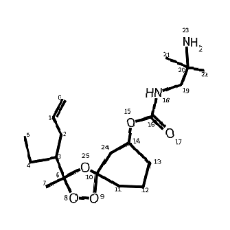 C=CCC(CC)C1(C)OOC2(CCCC(OC(=O)NCC(C)(C)N)C2)O1